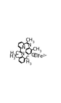 CC(=Nc1ccccc1C)c1cccc(C(C)=Nc2c(C)cccc2C)n1.[Cl-].[Cl-].[Fe+2]